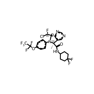 C[C@@](C(=O)NC1CCC(F)(F)CC1)(c1cncnc1)N(C(=O)[C@H](F)Cl)c1ccc(OC(F)(F)C(F)(F)F)cc1